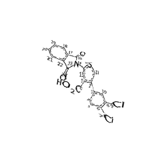 O=C(O)c1c(-c2ccc(Cl)c(Cl)c2)csc1N1C(=O)c2ccccc2C1=O